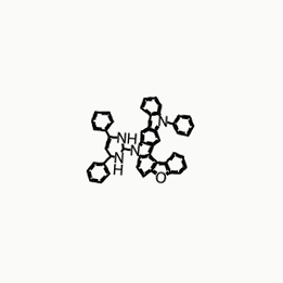 C1=C(c2ccccc2)NC(n2c3cc4c5ccccc5n(-c5ccccc5)c4cc3c3c4c(ccc32)oc2ccccc24)NC1c1ccccc1